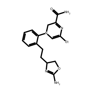 CCC1=CN(c2ccccc2CCC2COC(N)=N2)CC(C(N)=O)=N1